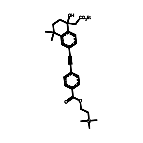 CCOC(=O)CC1(O)CCC(C)(C)c2cc(C#Cc3ccc(C(=O)OCC[Si](C)(C)C)cc3)ccc21